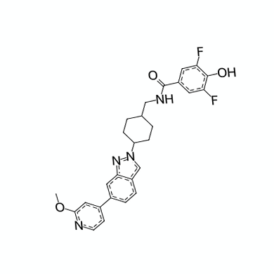 COc1cc(-c2ccc3cn(C4CCC(CNC(=O)c5cc(F)c(O)c(F)c5)CC4)nc3c2)ccn1